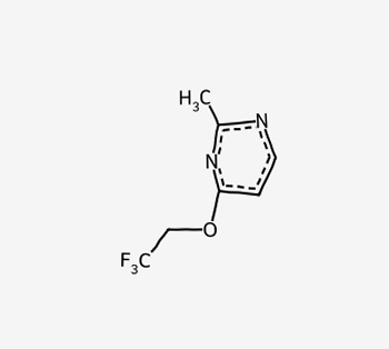 Cc1nccc(OCC(F)(F)F)n1